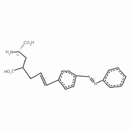 N[C@@H](CC(C/C=C/c1ccc(/N=N/c2ccccc2)cc1)C(=O)O)C(=O)O